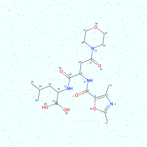 Cc1nc(C)c(C(=O)NC(CC(=O)N2CCOCC2)C(=O)NC(CC(C)C)B(O)O)o1